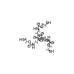 O=CN(CCNC(=O)OCCS)C(=O)N(CCNC(=O)OCCS)C(=O)NCCNC(=O)OCCS